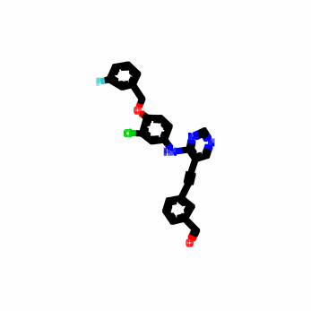 O=Cc1cccc(C#Cc2cncnc2Nc2ccc(OCc3cccc(F)c3)c(Cl)c2)c1